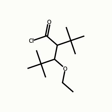 CCOC(C(C(=O)Cl)C(C)(C)C)C(C)(C)C